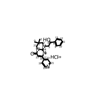 CC1(C)CN(C[C@H](O)c2ccccc2)c2nc(-c3ccncc3)cc(=O)n2C1.Cl